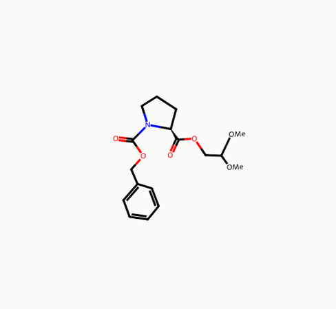 COC(COC(=O)[C@@H]1CCCN1C(=O)OCc1ccccc1)OC